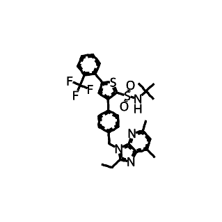 CCc1nc2c(C)cc(C)nc2n1Cc1ccc(-c2cc(-c3ccccc3C(F)(F)F)sc2S(=O)(=O)NC(C)(C)C)cc1